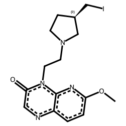 COc1ccc2ncc(=O)n(CCN3CC[C@@H](CI)C3)c2n1